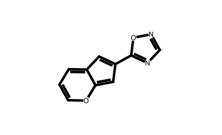 [c]1noc(-c2cc3cccoc-3c2)n1